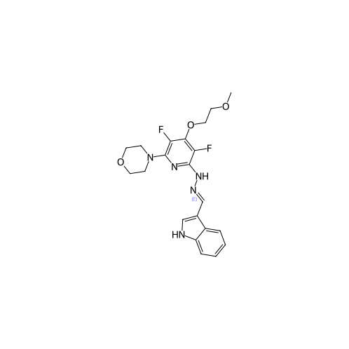 COCCOc1c(F)c(N/N=C/c2c[nH]c3ccccc23)nc(N2CCOCC2)c1F